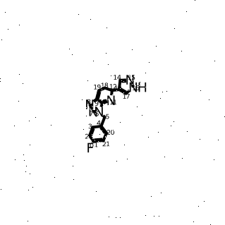 Fc1ccc(Cn2nnc3c2=NC(c2cn[nH]c2)CC=3)cc1